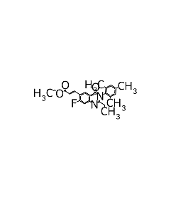 CCOC(=O)/C=C/c1cc2c(=O)n(-c3c(C)cc(C)cc3C)c(CC)nc2cc1F